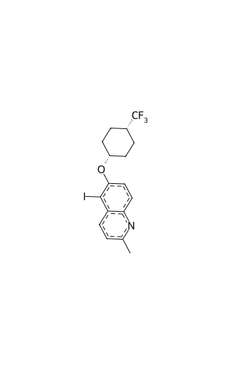 Cc1ccc2c(I)c(O[C@H]3CC[C@@H](C(F)(F)F)CC3)ccc2n1